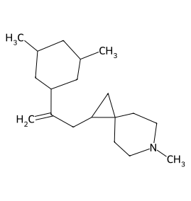 C=C(CC1CC12CCN(C)CC2)C1CC(C)CC(C)C1